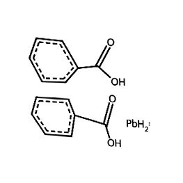 O=C(O)c1ccccc1.O=C(O)c1ccccc1.[PbH2]